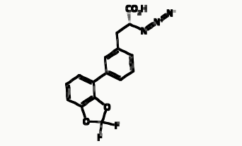 [N-]=[N+]=N[C@H](Cc1cccc(-c2cccc3c2OC(F)(F)O3)c1)C(=O)O